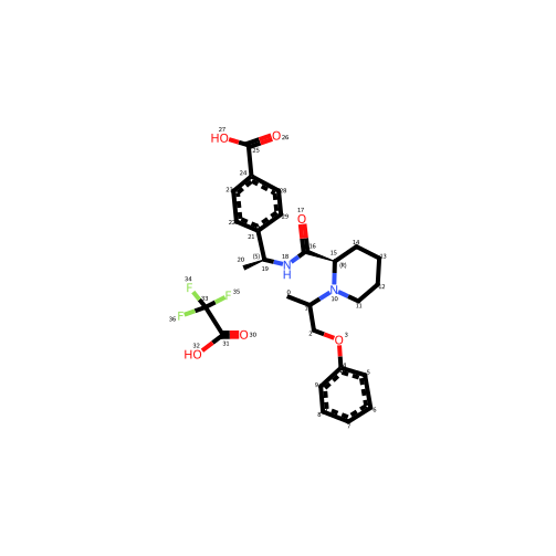 CC(COc1ccccc1)N1CCCC[C@@H]1C(=O)N[C@@H](C)c1ccc(C(=O)O)cc1.O=C(O)C(F)(F)F